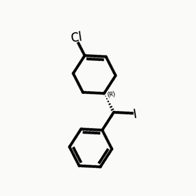 ClC1=CC[C@H](C(I)c2ccccc2)CC1